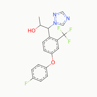 CC(O)C(c1ccc(Oc2ccc(F)cc2)cc1C(F)(F)F)n1cncn1